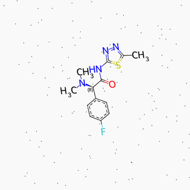 Cc1nnc(NC(=O)[C@@H](c2ccc(F)cc2)N(C)C)s1